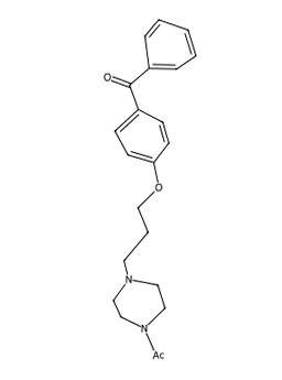 CC(=O)N1CCN(CCCOc2ccc(C(=O)c3ccccc3)cc2)CC1